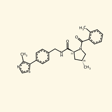 Cc1ccccc1C(=O)N1C[C@H](C)C[C@H]1C(=O)NCc1ccc(-c2scnc2C)cc1